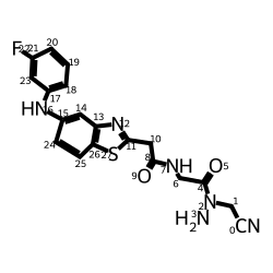 N#CCN(N)C(=O)CNC(=O)Cc1nc2cc(Nc3cccc(F)c3)ccc2s1